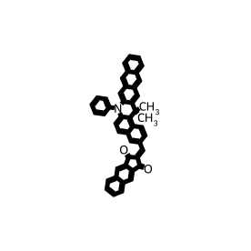 CC1(C)c2cc3cc4ccccc4cc3cc2N(c2ccccc2)c2ccc3cc(C=C4C(=O)c5cc6ccccc6cc5C4=O)ccc3c21